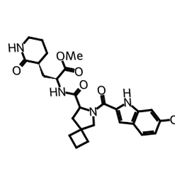 COC(=O)[C@H](C[C@@H]1CCCNC1=O)NC(=O)C1CC2(CCC2)CN1C(=O)c1cc2ccc(Cl)cc2[nH]1